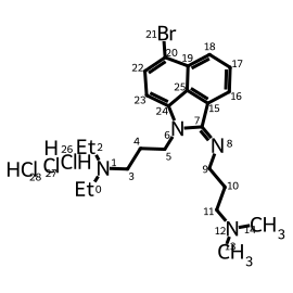 CCN(CC)CCCN1C(=NCCCN(C)C)c2cccc3c(Br)ccc1c23.Cl.Cl.Cl